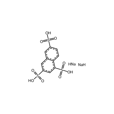 O=S(=O)(O)c1ccc2c(S(=O)(=O)O)cc(S(=O)(=O)O)cc2c1.[NaH].[NaH]